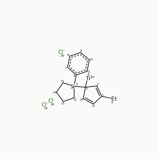 CCC1=C[C]([Ti+3])([Si]2(c3ccccc3)CCCC2)C=C1.[Cl-].[Cl-].[Cl-]